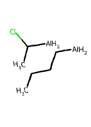 CCC[CH2][AlH2].C[CH]([AlH2])Cl